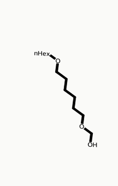 CCCCCCOCCCCCCOCO